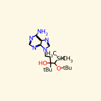 C[SiH](C)C(OC(C)(C)C)C(O)(CCn1cnc2c(N)ncnc21)C(C)(C)C